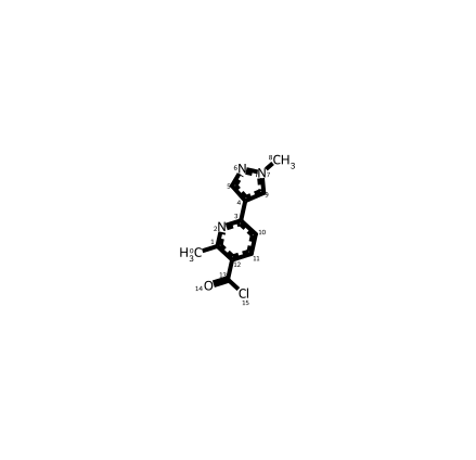 Cc1nc(-c2cnn(C)c2)ccc1C(=O)Cl